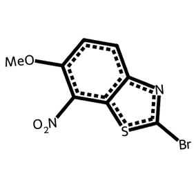 COc1ccc2nc(Br)sc2c1[N+](=O)[O-]